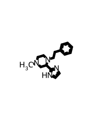 CN1CCN(CCc2ccccc2)C(c2ncc[nH]2)C1